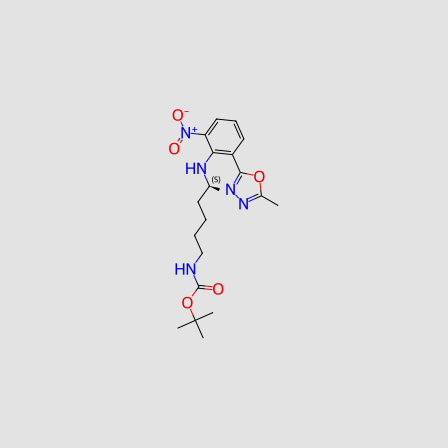 Cc1nnc(-c2cccc([N+](=O)[O-])c2N[C@@H](C)CCCCNC(=O)OC(C)(C)C)o1